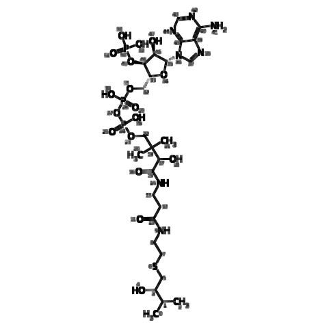 CC(C)C(O)CSCCNC(=O)CCNC(=O)C(O)C(C)(C)COP(=O)(O)OP(=O)(O)OC[C@H]1O[C@@H](n2cnc3c(N)ncnc32)[C@H](O)[C@@H]1OP(=O)(O)O